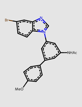 COc1ccc(-c2cc(NC(C)=O)cc(-n3cnc4cc(Br)ccc43)c2)cc1